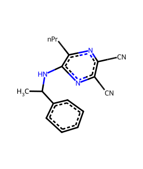 CCCc1nc(C#N)c(C#N)nc1NC(C)c1ccccc1